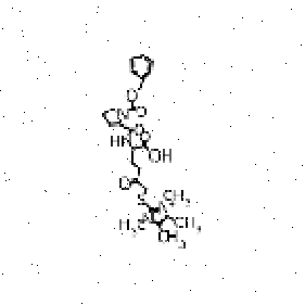 Cc1c(C)[n+](C)c(SCC(=O)CCC(NC(=O)C2CCCN2C(=O)OCc2ccccc2)C(=O)O)n1C